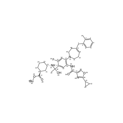 Cc1ccccc1CC1=CCCN(c2cc(F)c(C(C)(O)N[C@H]3CCC[C@H](C(=O)OC(C)(C)C)C3)cc2NC(=O)c2coc(C3CC3)n2)CC1